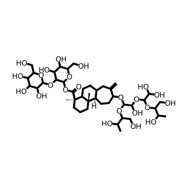 C=C1CC2CCC3[C@](C)(C(=O)OC4OC(CO)C(O)C(O)C4OC4OC(CO)C(O)C(O)C4O)CCC[C@@]3(C)[C@@H]2CCC1OC(OC(CO)C(C)O)C(O)OC(OC(CO)C(C)O)C(O)O